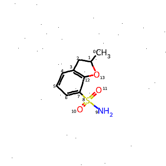 CC1Cc2cccc(S(N)(=O)=O)c2O1